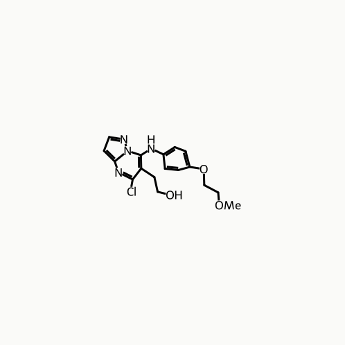 COCCOc1ccc(Nc2c(CCO)c(Cl)nc3ccnn23)cc1